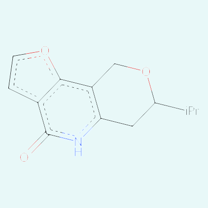 CC(C)C1Cc2[nH]c(=O)c3ccoc3c2CO1